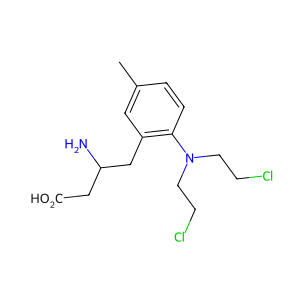 Cc1ccc(N(CCCl)CCCl)c(CC(N)CC(=O)O)c1